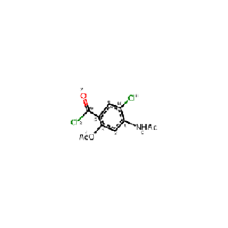 CC(=O)Nc1cc(OC(C)=O)c(C(=O)Cl)cc1Cl